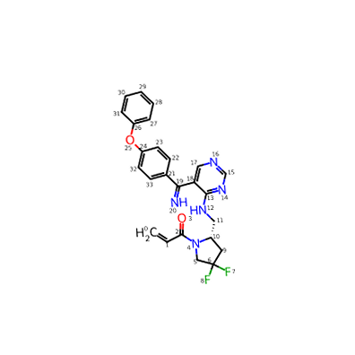 C=CC(=O)N1CC(F)(F)C[C@H]1CNc1ncncc1C(=N)c1ccc(Oc2ccccc2)cc1